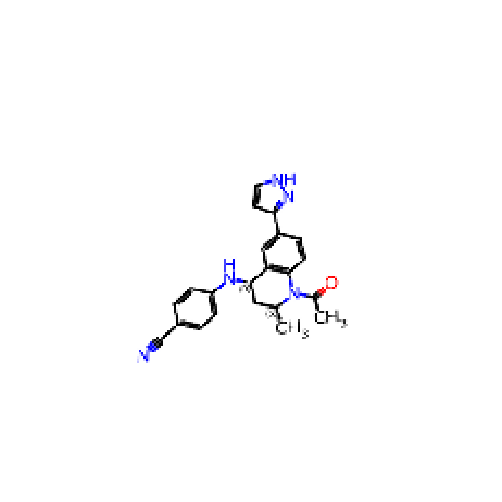 CC(=O)N1c2ccc(-c3cc[nH]n3)cc2[C@H](Nc2ccc(C#N)cc2)C[C@@H]1C